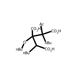 CCCCOC(C(=O)O)(C(CCCC)C(=O)O)C(CCCC)(C(C)=O)C(=O)O